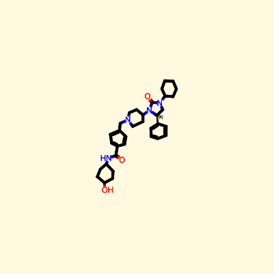 O=C(NC1CCC(O)CC1)c1ccc(CN2CCC(N3C(=O)N(C4CCCCC4)C[C@H]3c3ccccc3)CC2)cc1